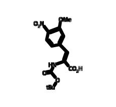 COc1cc(C=C(NC(=O)OC(C)(C)C)C(=O)O)ccc1[N+](=O)[O-]